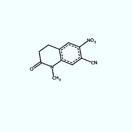 CN1C(=O)CCc2cc([N+](=O)[O-])c(C#N)cc21